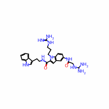 N=C(N)NCCCn1c(C(=O)NCCc2c[nH]c3ccccc23)cc2cc(NC(=O)CNC(N)N)ccc21